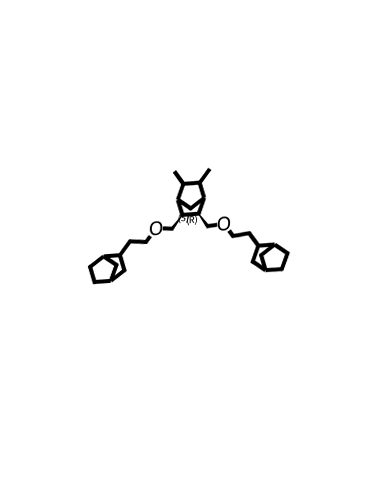 CC1C(C)C2CC1[C@@H](COCCC1CC3CCC1C3)[C@H]2COCCC1CC2CCC1C2